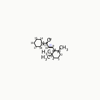 C[C@@H]1CCCC(C)(C)[C@H]1/C=C/C(=O)N1CCCCC1